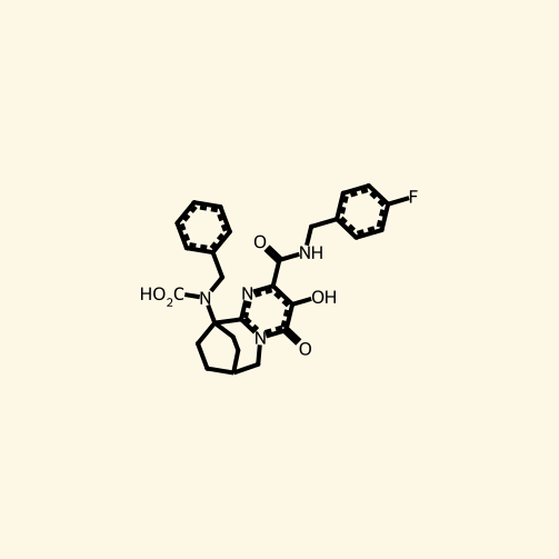 O=C(NCc1ccc(F)cc1)c1nc2n(c(=O)c1O)CC1CCC2(N(Cc2ccccc2)C(=O)O)CC1